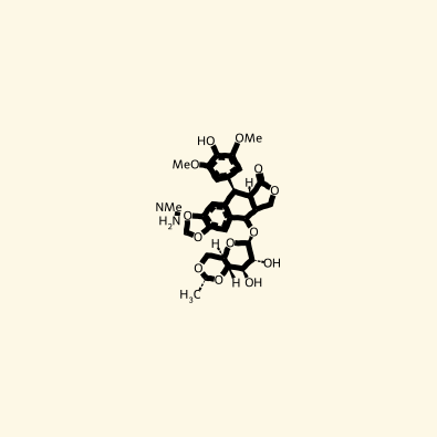 CNN.COc1cc([C@@H]2c3cc4c(cc3C(O[C@@H]3O[C@@H]5CO[C@@H](C)O[C@H]5[C@H](O)[C@H]3O)C3COC(=O)[C@@H]32)OCO4)cc(OC)c1O